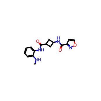 CNc1ccccc1NC(=O)C1CC(NC(=O)c2ccon2)C1